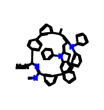 C=N/C1=N\C(NC)c2ccc(cc2)-c2cccc(c2)C(C)/C=C(\C=C2/Cc3ccccc3N2c2ccccc2)N(c2ccccc2)c2cccc(c2)-c2ccccc2-c2cccc1c2